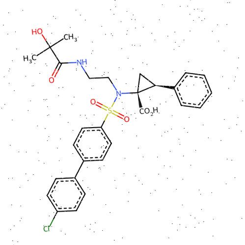 CC(C)(O)C(=O)NCCN([C@]1(C(=O)O)C[C@H]1c1ccccc1)S(=O)(=O)c1ccc(-c2ccc(Cl)cc2)cc1